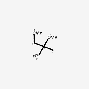 CCCC(C)(COC)OC